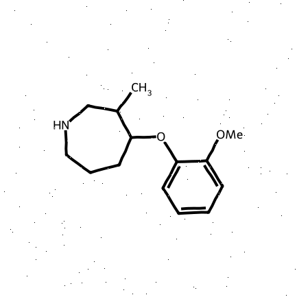 COc1ccccc1OC1CCCNCC1C